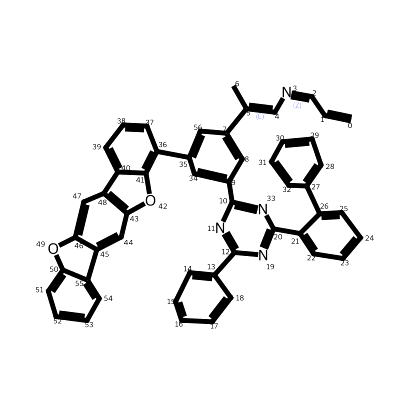 C=C/C=N\C=C(/C)c1cc(-c2nc(-c3ccccc3)nc(-c3ccccc3-c3ccccc3)n2)cc(-c2cccc3c2oc2cc4c(cc23)oc2ccccc24)c1